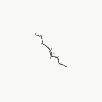 [CH2]CC/C=C/[CH]CC